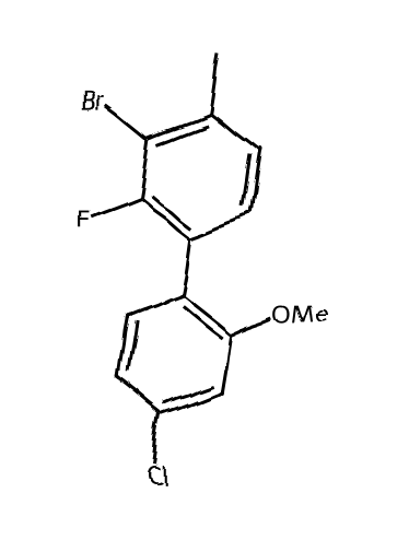 COc1cc(Cl)ccc1-c1ccc(C)c(Br)c1F